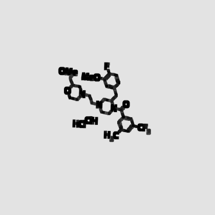 COCC1CN(CCN2CCN(C(=O)c3cc(C)cc(C(F)(F)F)c3)C(Cc3ccc(F)c(OC)c3)C2)CCO1.Cl.Cl